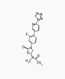 CC(=O)N(C)[C@@H]1CN(c2ccc(-c3ccc(-n4cnnn4)nc3)c(F)c2)C(=O)O1